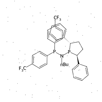 CCCCN(P(c1ccc(C(F)(F)F)cc1)c1ccc(C(F)(F)F)cc1)P1[C@H](c2ccccc2)CC[C@H]1c1ccccc1